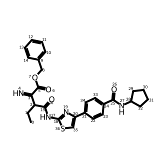 CCC(C(=N)C(=O)OCc1ccccc1)C(=O)Nc1nc(-c2ccc(C(=O)NC3CCCC3)cc2)cs1